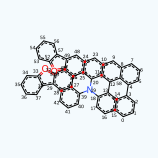 c1ccc(-c2cccc3cccc(-c4ccccc4N(c4ccccc4-c4ccc5c(c4)oc4ccccc45)c4ccccc4-c4cccc5c4oc4ccccc45)c23)cc1